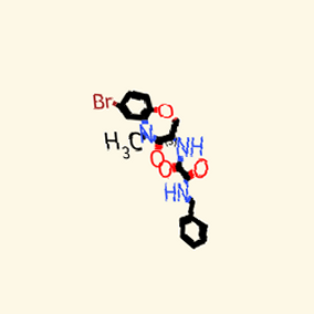 CN1C(=O)[C@@H](NC(=O)C(=O)NCc2ccccc2)COc2ccc(Br)cc21